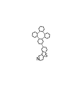 c1ccc2c(c1)-c1ccccc1-c1ccc(-c3ccc4sc5ccncc5c4c3)cc1-c1ccccc1-2